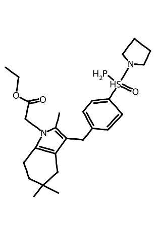 CCOC(=O)Cn1c(C)c(Cc2ccc([SH](=O)(P)N3CCCC3)cc2)c2c1CCC(C)(C)C2